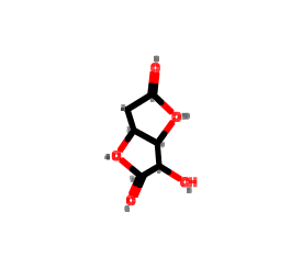 O=C1CC2OC(=O)C(O)C2O1